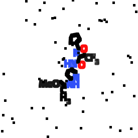 COC[C@H](C)Nc1ccc(NC(=O)c2nc(-c3ccccc3)oc2C(F)(F)F)cn1